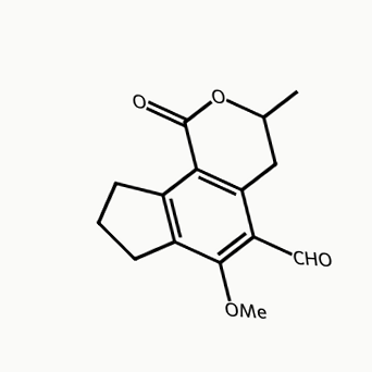 COc1c(C=O)c2c(c3c1CCC3)C(=O)OC(C)C2